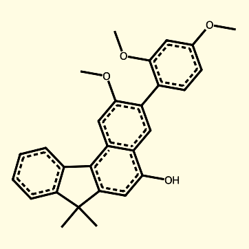 COc1ccc(-c2cc3c(O)cc4c(c3cc2OC)-c2ccccc2C4(C)C)c(OC)c1